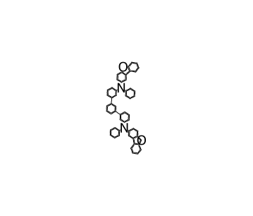 c1ccc(N(c2cccc(-c3cccc(-c4cccc(N(c5ccccc5)c5ccc6oc7ccccc7c6c5)c4)c3)c2)c2ccc3oc4ccccc4c3c2)cc1